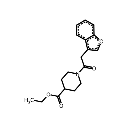 CCOC(=O)C1CCN(C(=O)Cc2coc3ccccc23)CC1